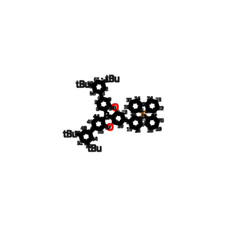 CC(C)(C)c1cc(-c2ccc3c(c2)Oc2cc(-c4cccc(S(c5ccccc5)(c5ccccc5)c5ccccc5)c4)cc4c2B3c2ccc(-c3cc(C(C)(C)C)cc(C(C)(C)C)c3)cc2O4)cc(C(C)(C)C)c1